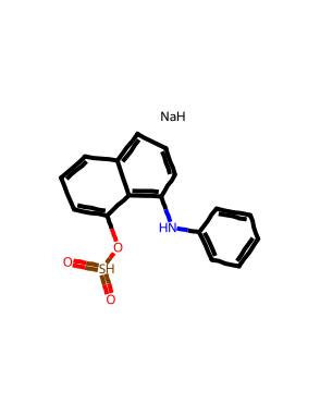 O=[SH](=O)Oc1cccc2cccc(Nc3ccccc3)c12.[NaH]